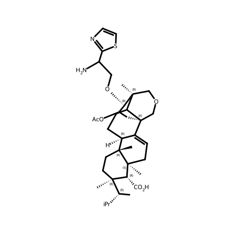 CC(=O)OC1C[C@@]23COC[C@@](C)(C2CC[C@H]2C3=CC[C@@]3(C)[C@H](C(=O)O)[C@@](C)([C@H](C)C(C)C)CC[C@]23C)[C@H]1OCC(N)c1nccs1